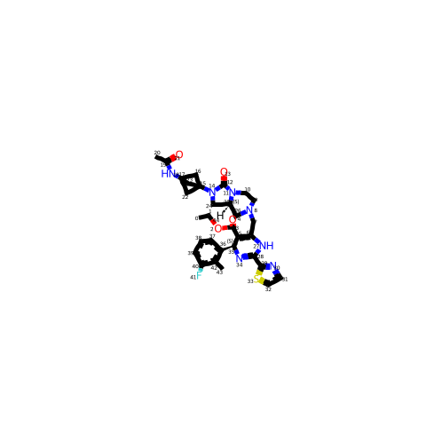 CCOC(=O)C1=C(CN2CCN3C(=O)N(C45CC(NC(C)=O)(C4)C5)C[C@@H]3C2)NC(c2nccs2)=N[C@H]1c1cccc(F)c1C